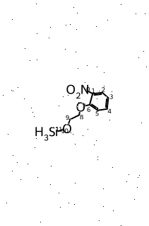 O=[N+]([O-])c1ccccc1OCCO[SiH3]